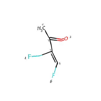 CC(=O)/C(F)=C/F